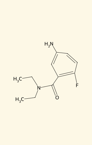 CCN(CC)C(=O)c1cc(N)ccc1F